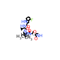 CC1(C)[C@@H]2[C@@H](C(=O)N[C@H](C=O)C[C@@H]3CCNC3=O)N(C(=O)[C@@H](NC(=O)c3cc4c(F)cccc4[nH]3)C3CC3)C[C@@H]21